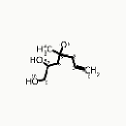 C=CCC(C)([O])CC(O)CO